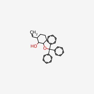 C=CC1CCCC(OC(c2ccccc2)(c2ccccc2)c2ccccc2)C1O